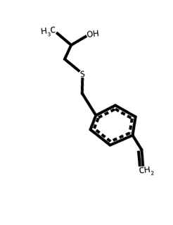 C=Cc1ccc(CSCC(C)O)cc1